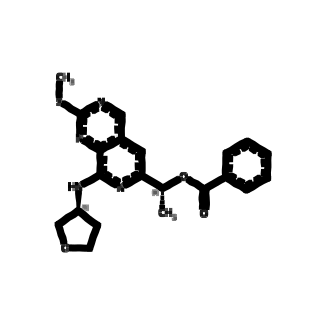 CSc1ncc2cc([C@@H](C)OC(=O)c3ccccc3)nc(N[C@H]3CCOC3)c2n1